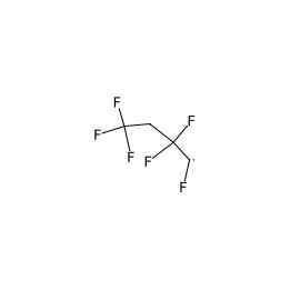 F[CH]C(F)(F)CC(F)(F)F